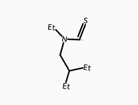 CCC(CC)CN([C]=S)CC